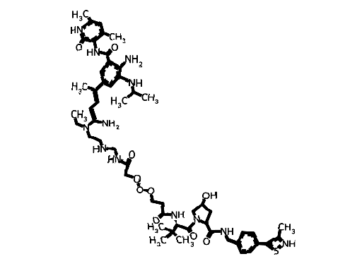 CCN(CCNCNC(=O)COOOCCC(=O)N[C@H](C(=O)N1CC(O)CC1C(=O)NCc1ccc(-c2s[nH]c2C)cc1)C(C)(C)C)/C(N)=C/C=C(\C)c1cc(NC(C)C)c(N)c(C(=O)Nc2c(C)cc(C)[nH]c2=O)c1